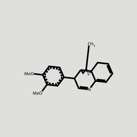 COc1ccc(C2C=NC3=CC=CCC34SC(C)CC24)cc1OC